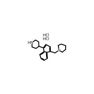 Cl.Cl.c1ccc2c(C3CCNCC3)ccc(CN3CCCCC3)c2c1